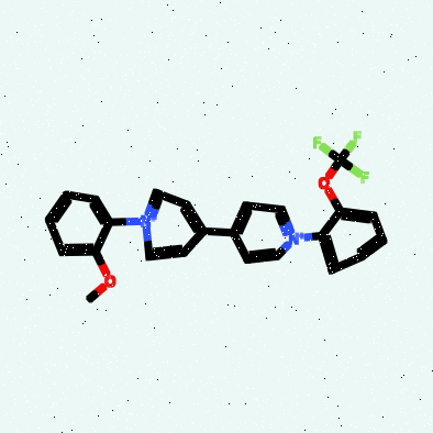 COc1ccccc1-[n+]1ccc(-c2cc[n+](-c3ccccc3OC(F)(F)F)cc2)cc1